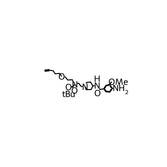 C#CCCCOCCCN(CCN1CCC(NC(=O)c2ccc(N)c(OC)c2)CC1)C(=O)OC(C)(C)C